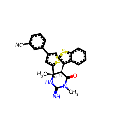 CN1C(=N)N[C@](C)(c2cc(-c3cccc(C#N)c3)cs2)[C@@H](c2csc3ccccc23)C1=O